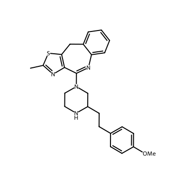 COc1ccc(CCC2CN(C3=Nc4ccccc4Cc4sc(C)nc43)CCN2)cc1